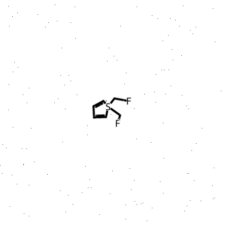 FCS1(CF)[C]=CC=C1